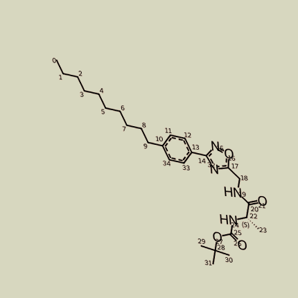 CCCCCCCCCCc1ccc(-c2noc(CNC(=O)[C@H](C)NC(=O)OC(C)(C)C)n2)cc1